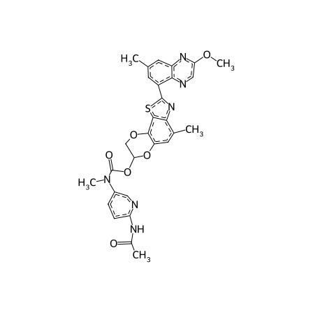 COc1cnc2c(-c3nc4c(C)cc5c(c4s3)OCC(OC(=O)N(C)c3ccc(NC(C)=O)nc3)O5)cc(C)cc2n1